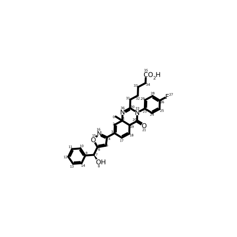 CC12C=C(c3cc([C@@H](O)c4ccccc4)on3)C=CC1C(=O)N(c1ccc(F)cc1)C(CCCCC(=O)O)=N2